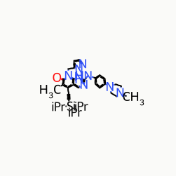 Cc1c(C#C[Si](C(C)C)(C(C)C)C(C)C)c2cnc(Nc3ccc(N4CCN(C)CC4)cc3)nc2n(Cc2ccn[nH]2)c1=O